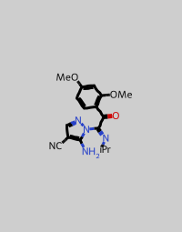 COc1ccc(C(=O)C(=NC(C)C)n2ncc(C#N)c2N)c(OC)c1